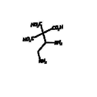 NCC(N)C(C(=O)O)(C(=O)O)C(=O)O